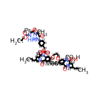 C=CCOC(=O)N[C@H](C(=O)N[C@@H](C)C(=O)Nc1ccc(COC(=O)N2c3cc(OCCCOc4cc5c(cc4OC)C(=O)N4C=C(C=CC)CC4C(O)N5C(=O)O)c(OC)cc3C(=O)N3C=C(C=CC)C[C@H]3[C@@H]2O)cc1)C(C)C